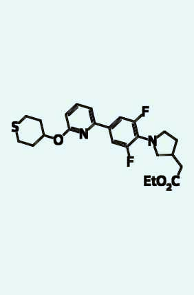 CCOC(=O)CC1CCN(c2c(F)cc(-c3cccc(OC4CCSCC4)n3)cc2F)C1